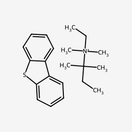 CCC(C)(C)[N+](C)(C)CC.c1ccc2c(c1)sc1ccccc12